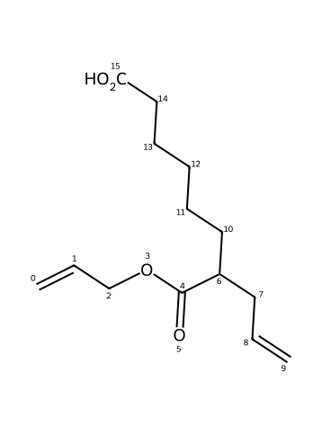 C=CCOC(=O)C(CC=C)CCCCCC(=O)O